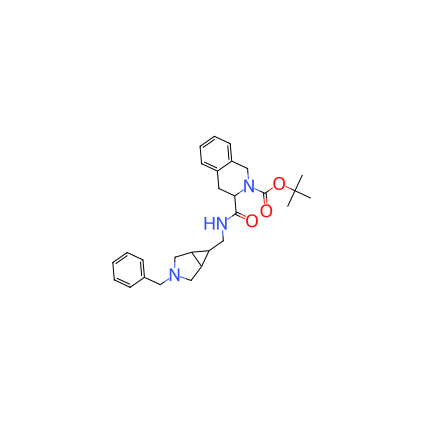 CC(C)(C)OC(=O)N1Cc2ccccc2CC1C(=O)NCC1C2CN(Cc3ccccc3)CC12